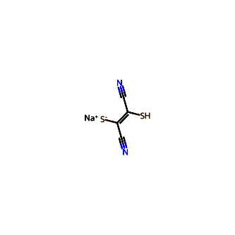 N#CC([S-])=C(S)C#N.[Na+]